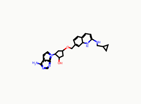 Nc1ncnc2c1ccn2C1CC(OCC2=CC3NC(NCC4CC4)=CC=C3C=C2)CC1O